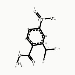 COC(=O)c1ccc([N+](=O)[O-])cc1C(F)F